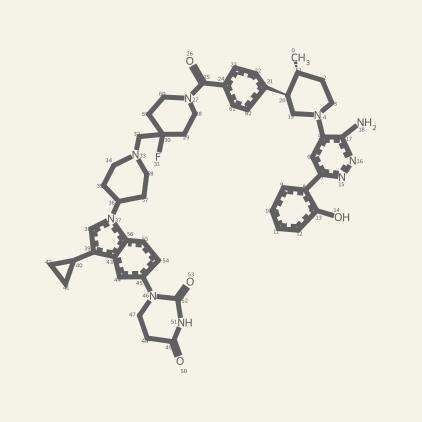 C[C@@H]1CCN(c2cc(-c3ccccc3O)nnc2N)C[C@H]1c1ccc(C(=O)N2CCC(F)(CN3CCC(n4cc(C5CC5)c5cc(N6CCC(=O)NC6=O)ccc54)CC3)CC2)cc1